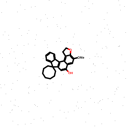 COc1cc2c(O)cc3c(c2c2c1OCC2)-c1ccccc1C31CCCCCCC1